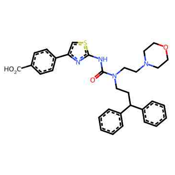 O=C(O)c1ccc(-c2csc(NC(=O)N(CCC(c3ccccc3)c3ccccc3)CCN3CCOCC3)n2)cc1